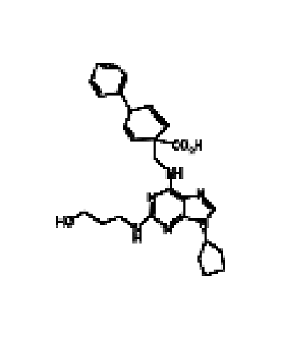 O=C(O)C1(CNc2nc(NCCCO)nc3c2ncn3C2CCCC2)C=CC(c2ccccc2)C=C1